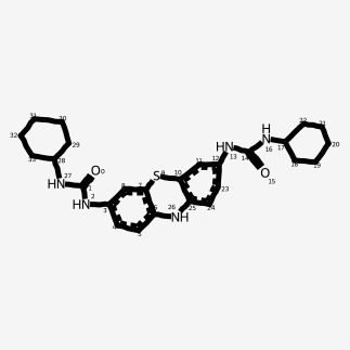 O=C(Nc1ccc2c(c1)Sc1cc(NC(=O)NC3CCCCC3)ccc1N2)NC1CCCCC1